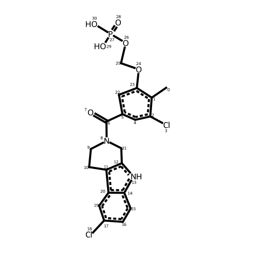 Cc1c(Cl)cc(C(=O)N2CCc3c([nH]c4ccc(Cl)cc34)C2)cc1OCOP(=O)(O)O